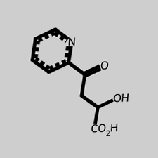 O=C(CC(O)C(=O)O)c1ccccn1